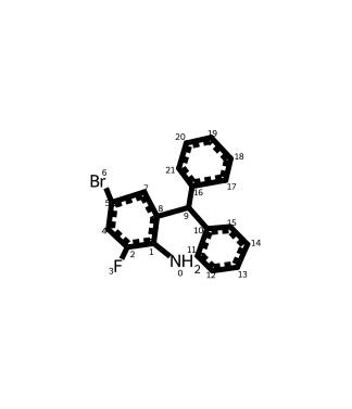 Nc1c(F)cc(Br)cc1C(c1ccccc1)c1ccccc1